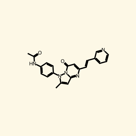 CC(=O)Nc1ccc(-n2c(C)cc3nc(/C=C/c4cccnc4)cc(=O)n32)cc1